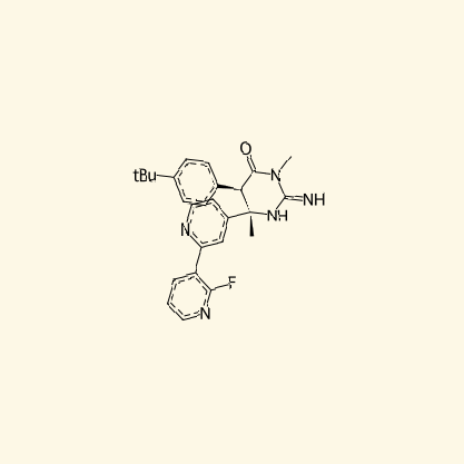 CN1C(=N)N[C@](C)(c2ccnc(-c3cccnc3F)c2)[C@@H](c2ccc(C(C)(C)C)cc2)C1=O